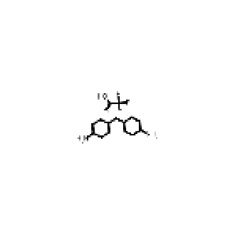 NC1CCC(CC2CCC(N)CC2)CC1.O=C(O)C(F)(F)F